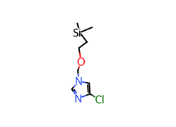 C[Si](C)(C)CCOCn1cnc(Cl)c1